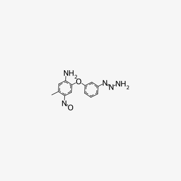 Cc1cc(N)c(Oc2cccc(N=NN)c2)cc1N=O